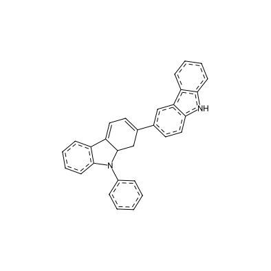 C1=C(c2ccc3[nH]c4ccccc4c3c2)CC2C(=C1)c1ccccc1N2c1ccccc1